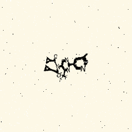 Cc1cncc(-c2ncc(N(C(=O)C3CC3)C(=O)C3CC3)c(C(F)(F)F)n2)c1